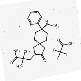 CN[C@]1(c2ccccn2)CC[C@@]2(CC1)CC(=O)N(CC(C)(C)C(N)=O)C2.O=C(O)C(F)(F)F